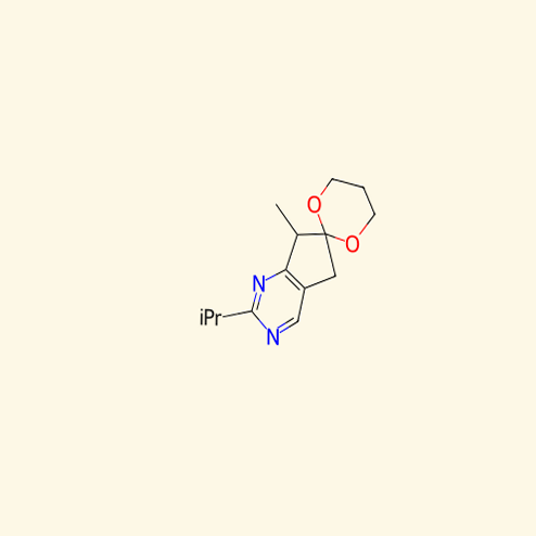 CC(C)c1ncc2c(n1)C(C)C1(C2)OCCCO1